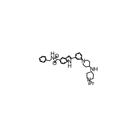 CC(C)N1CCC(NC2CCN(c3cccc(-c4cc5cc(S(=O)(=O)NCc6ccccc6)ccc5[nH]4)c3)CC2)CC1